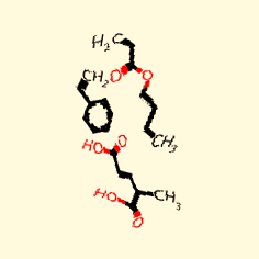 C=CC(=O)OCCCC.C=Cc1ccccc1.CC(C=CC(=O)O)C(=O)O